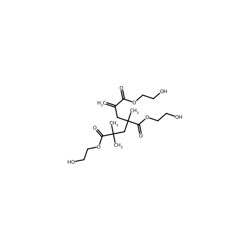 C=C(CC(C)(CC(C)(C)C(=O)OCCO)C(=O)OCCO)C(=O)OCCO